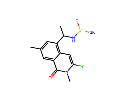 Cc1cc(C(C)N[S@+]([O-])C(C)(C)C)c2cc(Cl)n(C)c(=O)c2c1